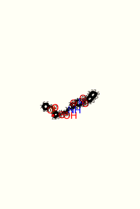 O=S(=O)(Cc1ccccc1)c1cccc(OCC(O)CNC2COC3(CCN(S(=O)(=O)c4ccc5ccccc5c4)CC3)C2)c1